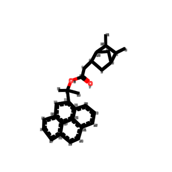 CC1C2CC(CC(=O)OC(C)(C)c3cc4cccc5ccc6cccc3c6c54)C(C2)C1C